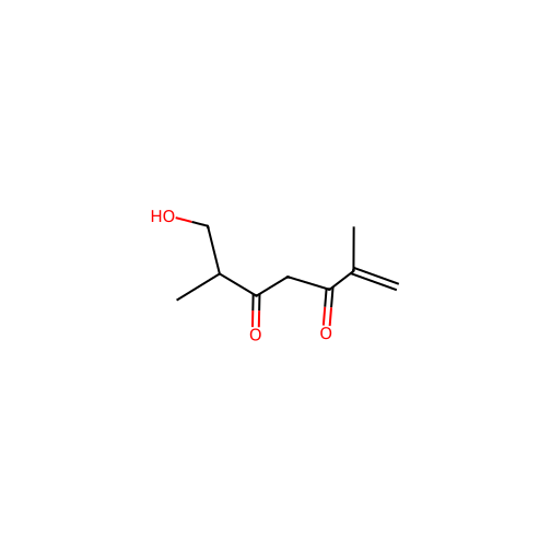 C=C(C)C(=O)CC(=O)C(C)CO